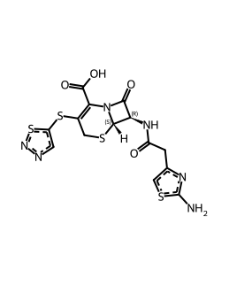 Nc1nc(CC(=O)N[C@@H]2C(=O)N3C(C(=O)O)=C(Sc4cnns4)CS[C@@H]23)cs1